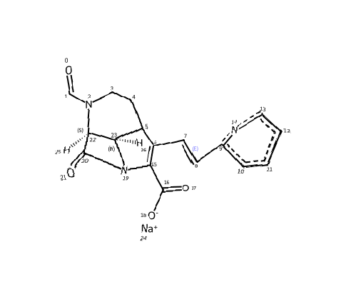 O=CN1CCC2C(/C=C/c3ccccn3)=C(C(=O)[O-])N3C(=O)[C@@H]1[C@@H]23.[Na+]